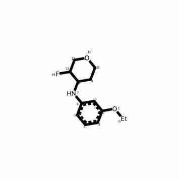 CCOc1cccc(NC2CCO[CH]C2F)c1